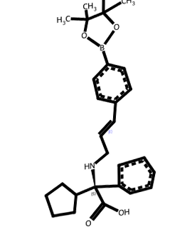 CC1(C)OB(c2ccc(/C=C/CN[C@](C(=O)O)(c3ccccc3)C3CCCC3)cc2)OC1(C)C